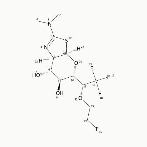 CN(C)C1=N[C@@H]2[C@@H](O)[C@H](O)[C@@H]([C@@H](OCCF)C(F)(F)F)O[C@@H]2S1